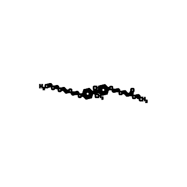 C=COCOCCOCCOc1ccc(C(C)(C)c2ccc(OCCOCCC(=O)OC=C)cc2)cc1